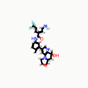 Cc1ccc(NC(=O)C(/C=C/C(F)F)=C/C=N\F)cc1-c1cnc2c(c1)N1CCOCC1CC2(C)O